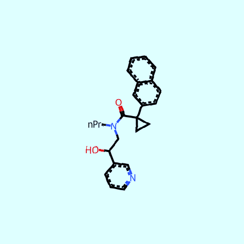 CCCN(CC(O)c1cccnc1)C(=O)C1(c2ccc3ccccc3c2)CC1